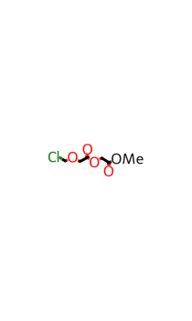 COC(=O)COC(=O)COCCl